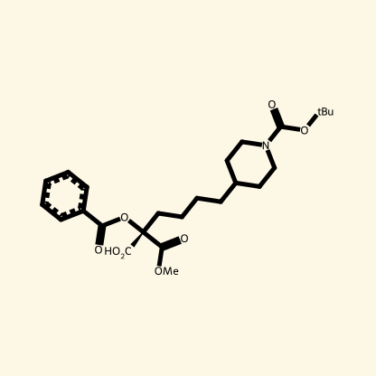 COC(=O)[C@@](CCCCC1CCN(C(=O)OC(C)(C)C)CC1)(OC(=O)c1ccccc1)C(=O)O